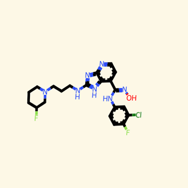 O/N=C(\Nc1ccc(F)c(Cl)c1)c1ccnc2nc(NCCCN3CCCC(F)C3)[nH]c12